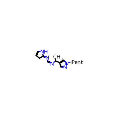 CCC[C@H](C)n1cc(C(C)/N=C\N=C2/CC=CN2)cn1